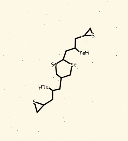 [TeH]C(CC1C[Se]C(CC([TeH])CC2CS2)[Se]C1)CC1CS1